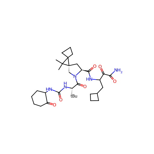 CC(C)(C)[C@H](NC(=O)NC1CCCCC1=O)C(=O)N1C[C@]2(C[C@H]1C(=O)NC(CC1CCC1)C(=O)C(N)=O)C(C)(C)C21CCC1